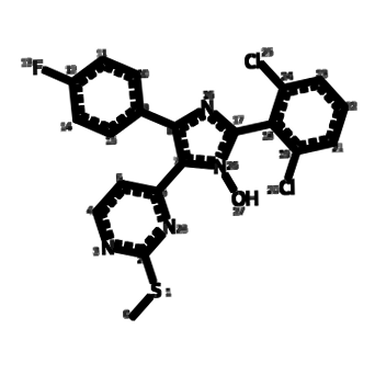 CSc1nccc(-c2c(-c3ccc(F)cc3)nc(-c3c(Cl)cccc3Cl)n2O)n1